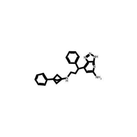 Nc1cc(C(CCNC23CC(c4ccccc4)(C2)C3)c2ccccc2)c2nn[nH]c2n1